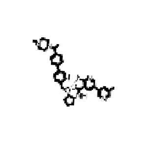 Cc1cncc(-c2cnc(N)c(C(=O)N[C@H]3CCCC3OCc3ccc(-c4ccc(C(C)N5CCN(C)CC5)cc4)cc3)c2)c1